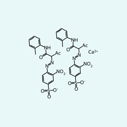 CC(=O)C(N=Nc1ccc(S(=O)(=O)[O-])cc1[N+](=O)[O-])C(=O)Nc1ccccc1C.CC(=O)C(N=Nc1ccc(S(=O)(=O)[O-])cc1[N+](=O)[O-])C(=O)Nc1ccccc1C.[Ca+2]